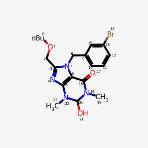 CCCCOCc1nc2c(n1Cc1cccc(Br)c1)C(=O)N(C)C(O)N2C